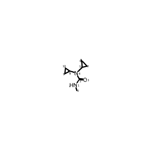 CNC(=O)N(C1CC1)C1CC1